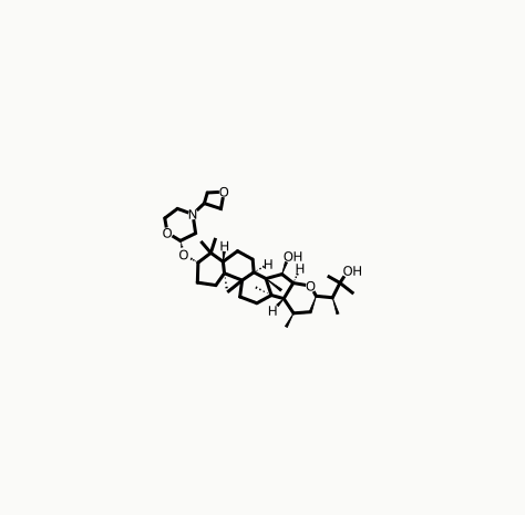 C[C@@H]1C[C@H]([C@H](C)C(C)(C)O)O[C@H]2[C@H]1[C@@]1(C)CCC34C[C@@]35CC[C@H](O[C@H]3CN(C6COC6)CCO3)C(C)(C)[C@@H]5CC[C@H]4[C@]1(C)[C@H]2O